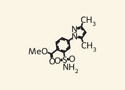 COC(=O)c1ccc(-n2nc(C)cc2C)cc1S(N)(=O)=O